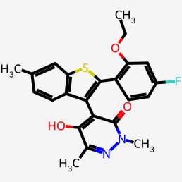 CCOc1cc(F)ccc1-c1sc2cc(C)ccc2c1-c1c(O)c(C)nn(C)c1=O